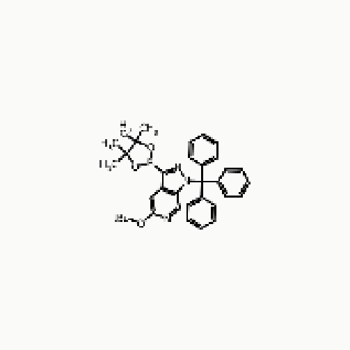 CC(C)(C)Oc1cc2c(B3OC(C)(C)C(C)(C)O3)nn(C(c3ccccc3)(c3ccccc3)c3ccccc3)c2cn1